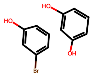 Oc1cccc(Br)c1.Oc1cccc(O)c1